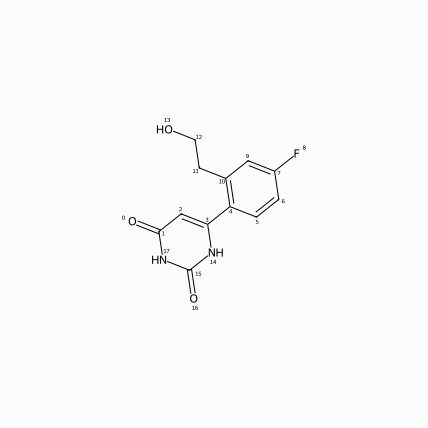 O=c1cc(-c2ccc(F)cc2CCO)[nH]c(=O)[nH]1